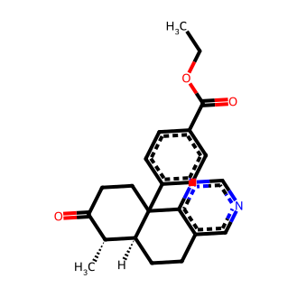 CCOC(=O)c1ccc(C23CCC(=O)[C@@H](C)[C@@H]2CCc2cncnc23)cc1